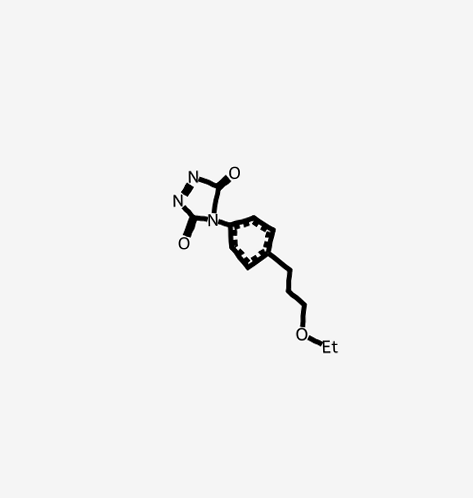 CCOCCCc1ccc(N2C(=O)N=NC2=O)cc1